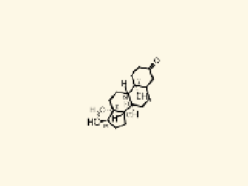 C[C@]12CC[C@H]3[C@@H](CCC4CC(=O)CC[C@@]43C)[C@@H]1CC[C@H]2O